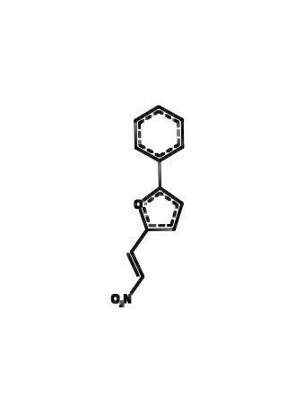 O=[N+]([O-])/C=C/c1ccc(-c2ccccc2)o1